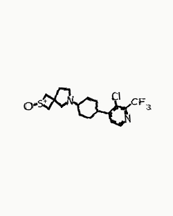 [O-][S+]1CC2(CCN(C3CCC(c4ccnc(C(F)(F)F)c4Cl)CC3)C2)C1